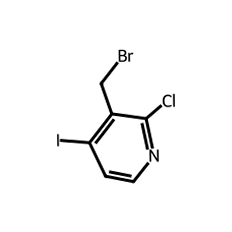 Clc1nccc(I)c1CBr